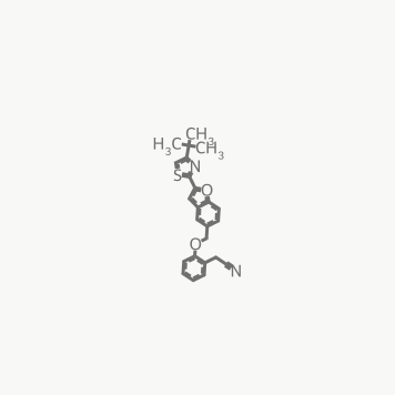 CC(C)(C)c1csc(-c2cc3cc(COc4ccccc4CC#N)ccc3o2)n1